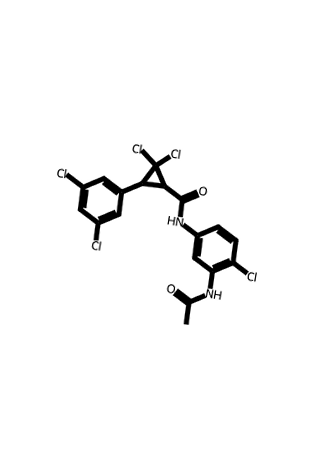 CC(=O)Nc1cc(NC(=O)C2C(c3cc(Cl)cc(Cl)c3)C2(Cl)Cl)ccc1Cl